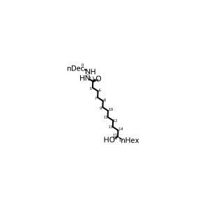 CCCCCCCCCCNNC(=O)CCCCCCCCCC[C@H](O)CCCCCC